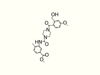 COC(=O)c1ccc(C)c(NC(=O)N2CCN(C(=O)c3ccc(OC)cc3CO)CC2)c1